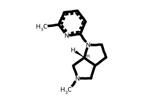 Cc1cccc(N2CCC3CN(C)C[C@@H]32)n1